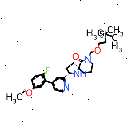 CCOc1ccc(F)c(-c2ccnc([C@@H]3CC[C@]4(CCCN(COCC[Si](C)(C)C)C4=O)N3)c2)c1